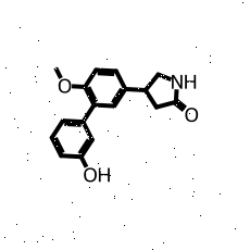 COc1ccc(C2CNC(=O)C2)cc1-c1cccc(O)c1